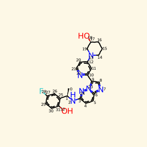 C[C@@H](Nc1ccc2ncc(-c3cc(N4CCC[C@H](O)C4)ccn3)n2n1)c1cc(F)ccc1O